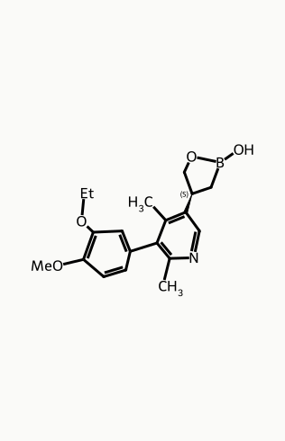 CCOc1cc(-c2c(C)ncc([C@H]3COB(O)C3)c2C)ccc1OC